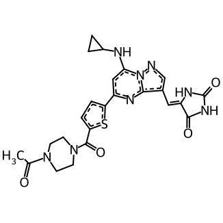 CC(=O)N1CCN(C(=O)c2ccc(-c3cc(NC4CC4)n4ncc(/C=C5\NC(=O)NC5=O)c4n3)s2)CC1